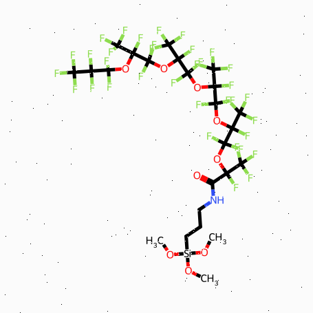 CO[Si](CCCNC(=O)C(F)(OC(F)(F)C(F)(OC(F)(F)C(F)(OC(F)(F)C(F)(OC(F)(F)C(F)(OC(F)(F)C(F)(F)C(F)(F)F)C(F)(F)F)C(F)(F)F)C(F)(F)F)C(F)(F)F)C(F)(F)F)(OC)OC